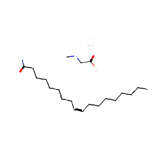 CCCCCCCC/C=C\CCCCCCCC(N)=O.CNCC(=O)O.[NaH].[NaH]